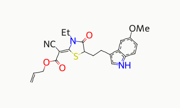 C=CCOC(=O)/C(C#N)=C1\SC(CCc2c[nH]c3ccc(OC)cc23)C(=O)N1CC